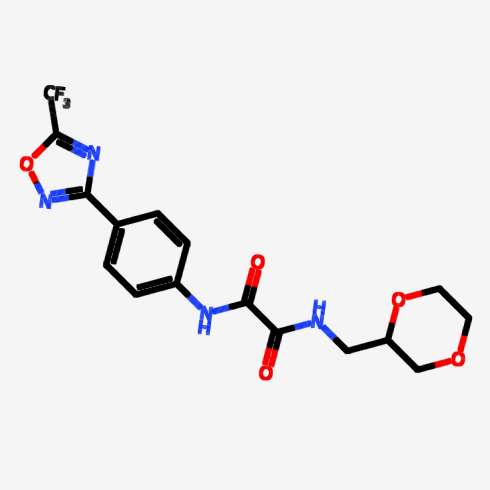 O=C(NCC1COCCO1)C(=O)Nc1ccc(-c2noc(C(F)(F)F)n2)cc1